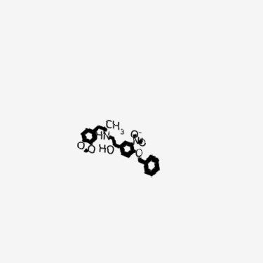 CC(Cc1ccc2c(c1)OCO2)NCC(O)c1ccc(OCc2ccccc2)c([N+](=O)[O-])c1